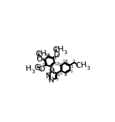 CCc1ccc(-c2cnnn2-c2cc(OC)cc(OC)c2OC)cc1